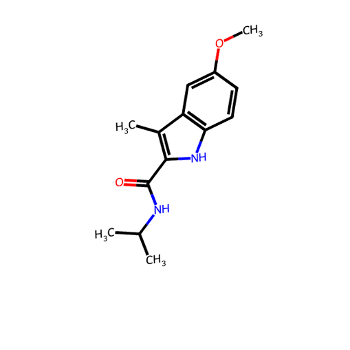 COc1ccc2[nH]c(C(=O)NC(C)C)c(C)c2c1